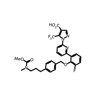 COC(=O)N(C)CCCc1ccc(COc2c(F)cccc2-c2cccc(-n3ncc(C(=O)O)c3C(F)(F)F)n2)cc1